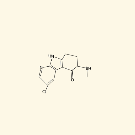 CBC1CCc2[nH]c3ncc(Cl)cc3c2C1=O